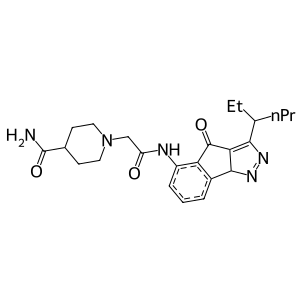 CCCC(CC)C1=C2C(=O)c3c(NC(=O)CN4CCC(C(N)=O)CC4)cccc3C2N=N1